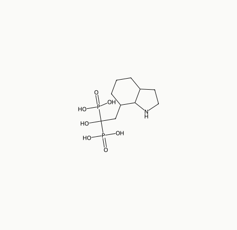 O=P(O)(O)C(O)(CC1CCCC2CCNC21)P(=O)(O)O